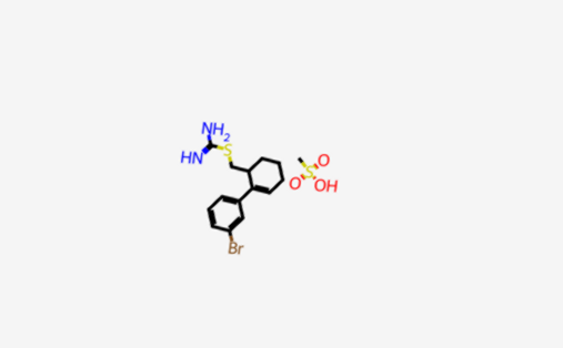 CS(=O)(=O)O.N=C(N)SCC1CCCC=C1c1cccc(Br)c1